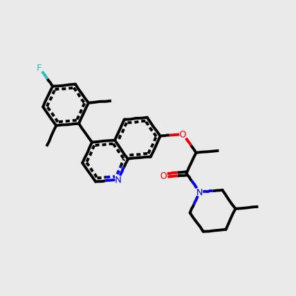 Cc1cc(F)cc(C)c1-c1ccnc2cc(OC(C)C(=O)N3CCCC(C)C3)ccc12